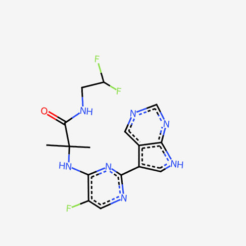 CC(C)(Nc1nc(-c2c[nH]c3ncncc23)ncc1F)C(=O)NCC(F)F